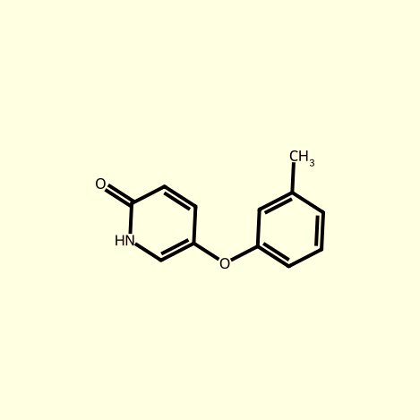 Cc1cccc(Oc2ccc(=O)[nH]c2)c1